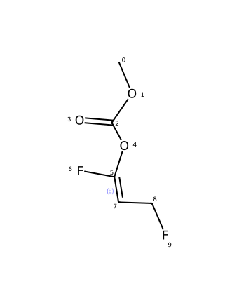 COC(=O)O/C(F)=C\CF